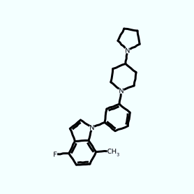 Cc1ccc(F)c2ccn(-c3cccc(N4CCC(N5CCCC5)CC4)c3)c12